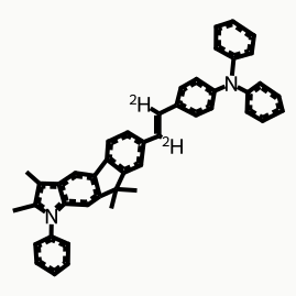 [2H]/C(=C(/[2H])c1ccc2c(c1)C(C)(C)c1cc3c(cc1-2)c(C)c(C)n3-c1ccccc1)c1ccc(N(c2ccccc2)c2ccccc2)cc1